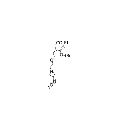 CCOC(=O)CN(CCOCCN1CC(N=[N+]=[N-])C1)C(=O)OC(C)(C)C